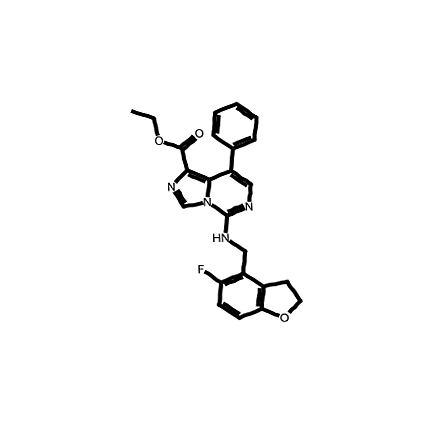 CCOC(=O)c1ncn2c(NCc3c(F)ccc4c3CCO4)ncc(-c3ccccc3)c12